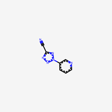 N#Cc1nnn(-c2cccnc2)n1